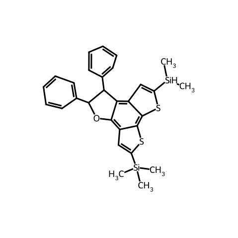 C[SiH](C)c1cc2c3c(c4cc([Si](C)(C)C)sc4c2s1)OC(c1ccccc1)C3c1ccccc1